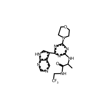 CC(Nc1nc(-c2c[nH]c3ncncc23)nc(N2CCOCC2)n1)C(=O)NCC(F)(F)F